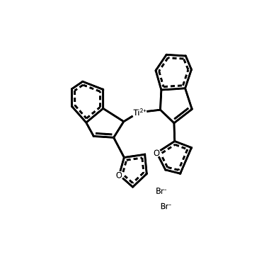 C1=C(c2ccco2)[CH]([Ti+2][CH]2C(c3ccco3)=Cc3ccccc32)c2ccccc21.[Br-].[Br-]